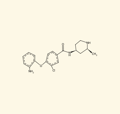 C[C@H]1C[C@@H](NC(=O)c2ccc(Oc3ccccc3N)c(Cl)c2)CCN1